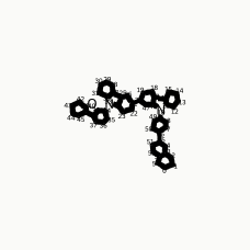 c1ccc2cc(-c3ccc(-n4c5ccccc5c5ccc(-c6ccc7c(c6)c6ccccc6n7-c6cccc7c6oc6ccccc67)cc54)cc3)ccc2c1